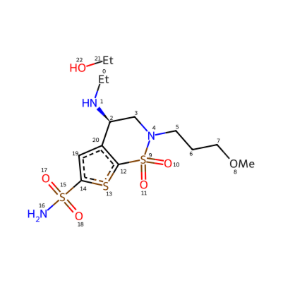 CCN[C@H]1CN(CCCOC)S(=O)(=O)c2sc(S(N)(=O)=O)cc21.CCO